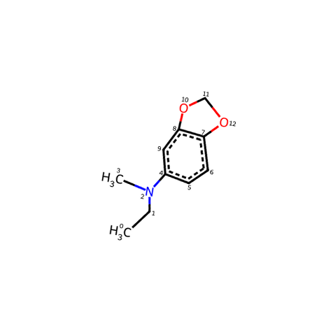 CCN(C)c1ccc2c(c1)OCO2